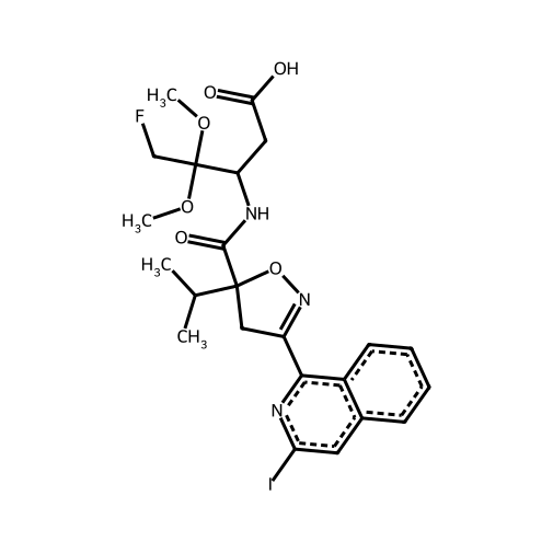 COC(CF)(OC)C(CC(=O)O)NC(=O)C1(C(C)C)CC(c2nc(I)cc3ccccc23)=NO1